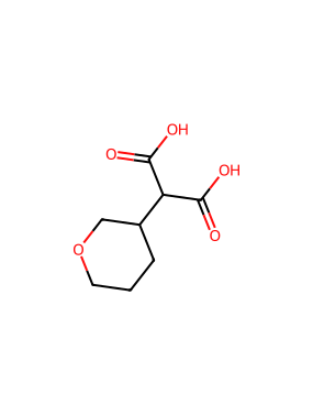 O=C(O)C(C(=O)O)C1CCCOC1